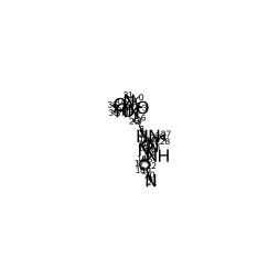 C[C@@H](C(=O)N[C@H]1C[C@@H](C#Cc2cnc(Nc3cccc(C#N)c3)nc2NC2CC2)C1)N(C)C(=O)OC(C)(C)C